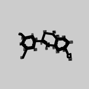 Cc1cc(C)cc(C2=Nc3cc(Cl)ccc3CC2)c1